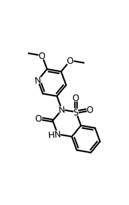 COc1cc(N2C(=O)Nc3ccccc3S2(=O)=O)cnc1OC